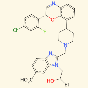 CCC(O)Cn1c(CN2CCC(c3cccc4c3O[C@H](c3ccc(Cl)cc3F)C=N4)CC2)nc2ccc(C(=O)O)cc21